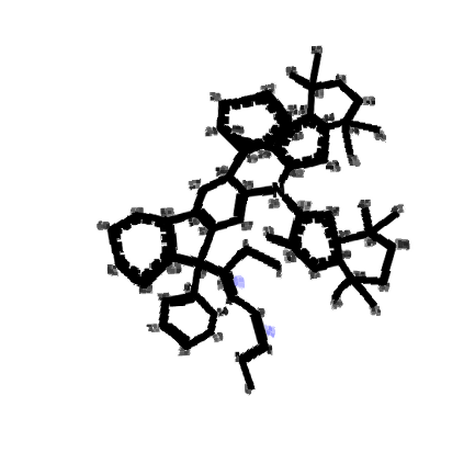 CC/C=C\C=C(/CC)C1(C2=CC=CCC2)C2=C(CC(c3ccccc3)C(N(c3cc4c(cc3C)C(C)(C)CCC4(C)C)c3cc4c(cc3C)C(C)(C)CCC4(C)C)=C2)c2ccccc21